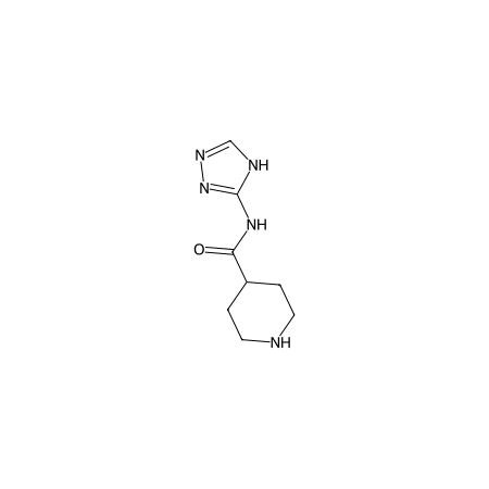 O=C(Nc1nnc[nH]1)C1CCNCC1